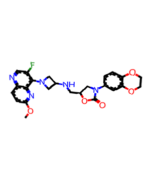 COc1ccc2ncc(F)c(N3CC(NCC4CN(c5ccc6c(c5)OCCO6)C(=O)O4)C3)c2n1